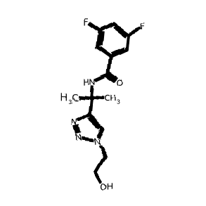 CC(C)(NC(=O)c1cc(F)cc(F)c1)c1cn(CCO)nn1